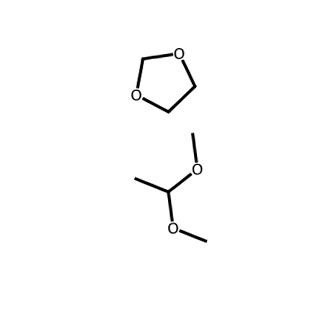 C1COCO1.COC(C)OC